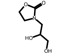 O=C1OCCN1CC(O)CO